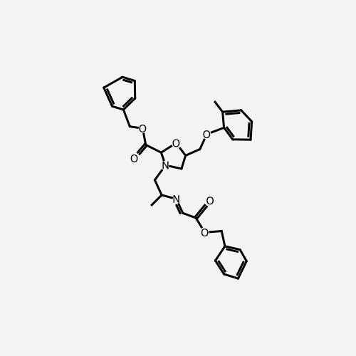 Cc1ccccc1OCC1CN(CC(C)/N=C/C(=O)OCc2ccccc2)C(C(=O)OCc2ccccc2)O1